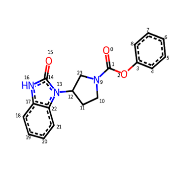 O=C(Oc1ccccc1)N1CCC(n2c(=O)[nH]c3ccccc32)C1